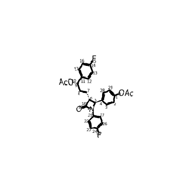 CC(=O)Oc1ccc([C@@H]2[C@@H](CC[C@H](OC(C)=O)c3ccc(F)cc3)C(=O)N2c2ccc(F)cc2)cc1